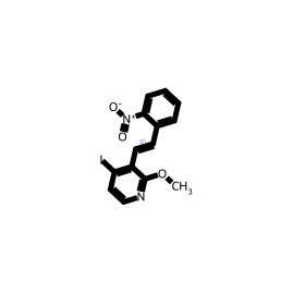 COc1nccc(I)c1/C=C/c1ccccc1[N+](=O)[O-]